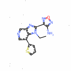 CCn1c(-c2nonc2N)nc2cncc(-c3cccs3)c21